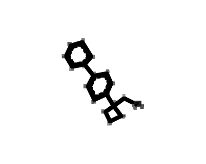 NCC1(c2ccc(-c3ccccc3)cc2)CCC1